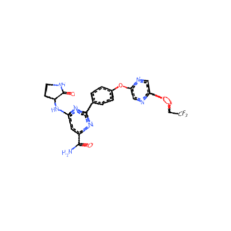 NC(=O)c1cc(NC2CCNC2=O)nc(-c2ccc(Oc3cnc(OCC(F)(F)F)cn3)cc2)n1